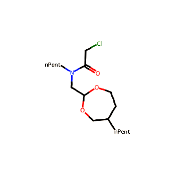 CCCCCC1CCOC(CN(CCCCC)C(=O)CCl)OC1